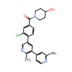 Cc1ncc(-c2ccc(C(=O)N3CCC(O)CC3)cc2Cl)cc1-c1ccnc(C(C)(C)C)c1